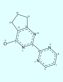 Clc1nc(-c2ncccn2)nc2c1CCC2